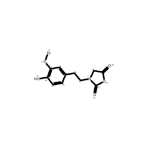 CCOc1cc(CCN2CC(=O)OC2=O)ccc1O